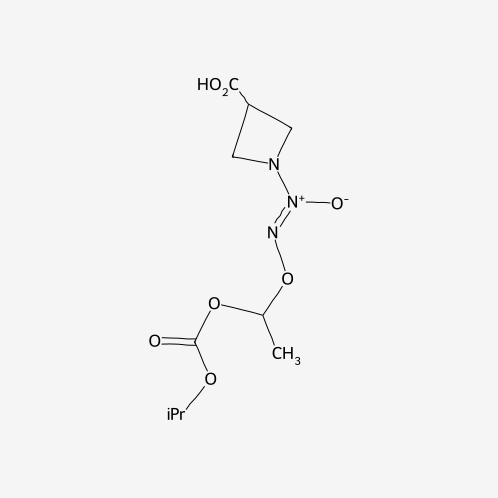 CC(C)OC(=O)OC(C)ON=[N+]([O-])N1CC(C(=O)O)C1